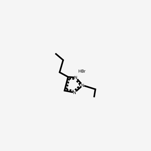 Br.CCCc1cnn(CC)n1